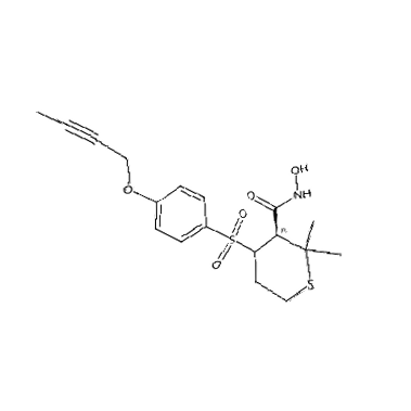 CC#CCOc1ccc(S(=O)(=O)C2CCSC(C)(C)[C@@H]2C(=O)NO)cc1